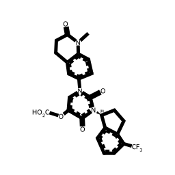 CN1C(=O)CCc2cc(-n3cc(OC(=O)O)c(=O)n([C@@H]4CCc5c4cccc5C(F)(F)F)c3=O)ccc21